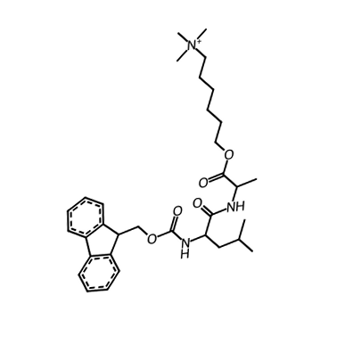 CC(C)CC(NC(=O)OCC1c2ccccc2-c2ccccc21)C(=O)NC(C)C(=O)OCCCCCC[N+](C)(C)C